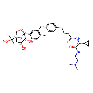 Cc1ccc([C@@]23OC[C@@](C(C)(C)O)(C[C@H](O)[C@H]2O)O3)cc1Cc1ccc(CCCC(=O)N[C@H](C(=O)NCCN(C)C)C2CC2)cc1